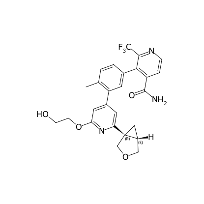 Cc1ccc(-c2c(C(N)=O)ccnc2C(F)(F)F)cc1-c1cc(OCCO)nc([C@]23COC[C@H]2C3)c1